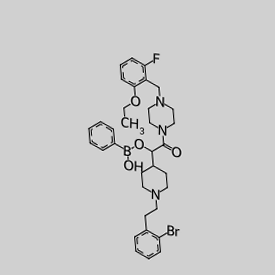 CCOc1cccc(F)c1CN1CCN(C(=O)C(OB(O)c2ccccc2)C2CCN(CCc3ccccc3Br)CC2)CC1